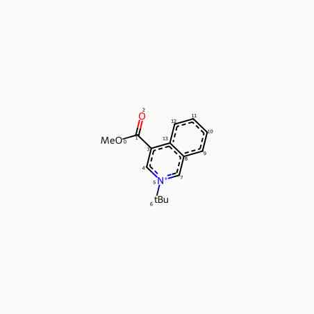 COC(=O)c1c[n+](C(C)(C)C)cc2ccccc12